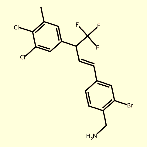 Cc1cc(C(/C=C/c2ccc(CN)c(Br)c2)C(F)(F)F)cc(Cl)c1Cl